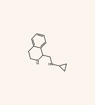 c1ccc2c(c1)CCNC2CNC1CC1